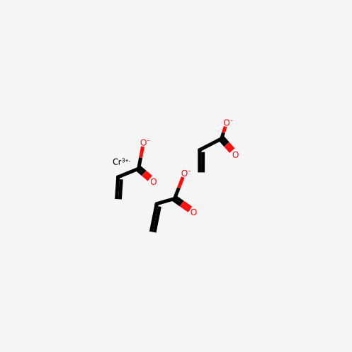 C=CC(=O)[O-].C=CC(=O)[O-].C=CC(=O)[O-].[Cr+3]